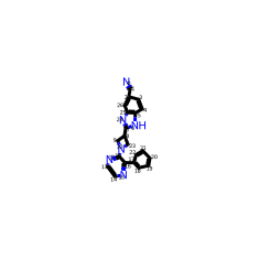 N#Cc1ccc2[nH]c(C3CN(c4nccnc4-c4ccccc4)C3)nc2c1